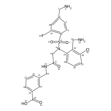 NCc1ccc(S(=O)(=O)N(CC(=O)NCc2cccc(C(=O)O)c2)c2cccc(Cl)c2CN)c(F)c1